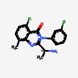 Cc1ccc(Cl)c2c(=O)n(-c3cccc(Cl)c3)c([C@H](C)N)nc12